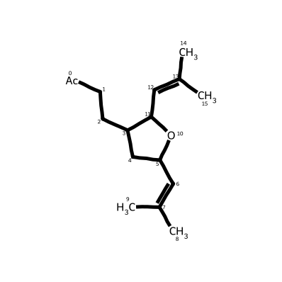 CC(=O)CCC1CC(C=C(C)C)OC1C=C(C)C